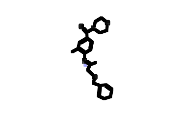 C/C(COCC1=CCCC=C1)=N\c1ccc(C(=O)N2CCOCC2)cc1C